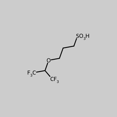 O=S(=O)(O)CCCOC(C(F)(F)F)C(F)(F)F